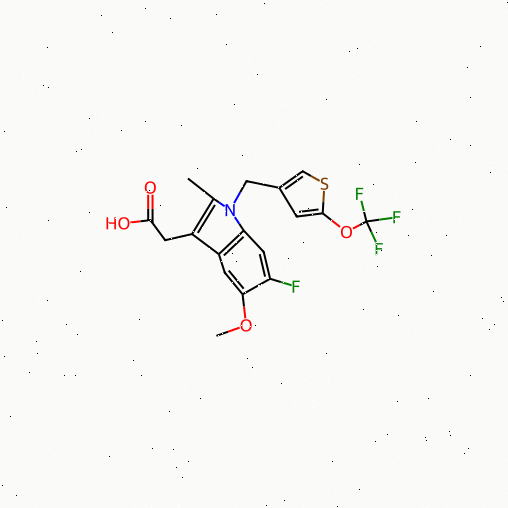 COc1cc2c(CC(=O)O)c(C)n(Cc3csc(OC(F)(F)F)c3)c2cc1F